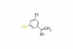 C=C(c1cc(S)cc(CC)c1)C(C)C